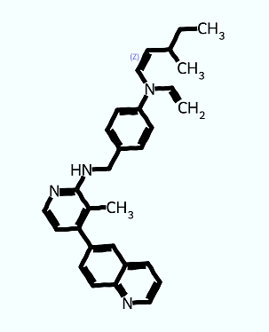 C=CN(/C=C\C(C)CC)c1ccc(CNc2nccc(-c3ccc4ncccc4c3)c2C)cc1